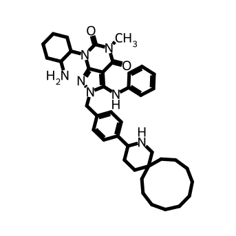 Cn1c(=O)c2c(Nc3ccccc3)n(Cc3ccc(C4CCC5(CCCCCCCCCC5)CN4)cc3)nc2n(C2CCCCC2N)c1=O